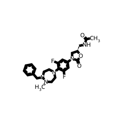 CC(=O)NC[C@H]1CN(c2cc(F)c(N3CCN(C)N(Cc4ccccc4)CC3)c(F)c2)C(=O)O1